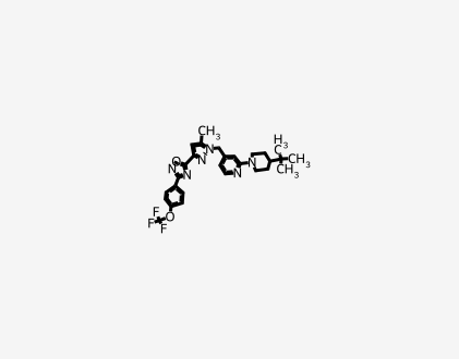 Cc1cc(-c2nc(-c3ccc(OC(F)(F)F)cc3)no2)nn1Cc1ccnc(N2CCC(C(C)(C)C)CC2)c1